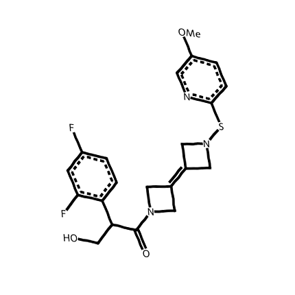 COc1ccc(SN2CC(=C3CN(C(=O)C(CO)c4ccc(F)cc4F)C3)C2)nc1